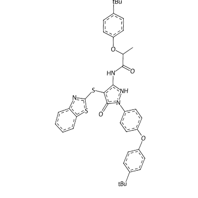 CC(Oc1ccc(C(C)(C)C)cc1)C(=O)Nc1[nH]n(-c2ccc(Oc3ccc(C(C)(C)C)cc3)cc2)c(=O)c1Sc1nc2ccccc2s1